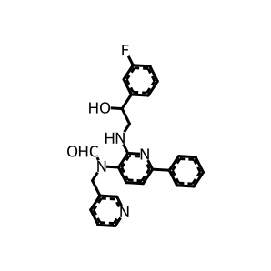 O=CN(Cc1cccnc1)c1ccc(-c2ccccc2)nc1NCC(O)c1cccc(F)c1